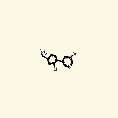 NCc1ccc(-c2cncc(Br)c2)c(Cl)c1